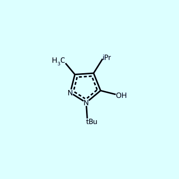 Cc1nn(C(C)(C)C)c(O)c1C(C)C